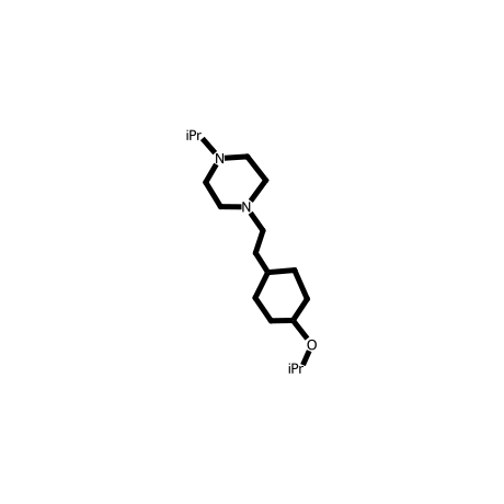 CC(C)OC1CCC(CCN2CCN(C(C)C)CC2)CC1